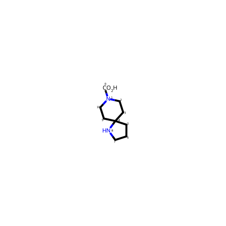 O=C(O)N1CCC2(CCCN2)CC1